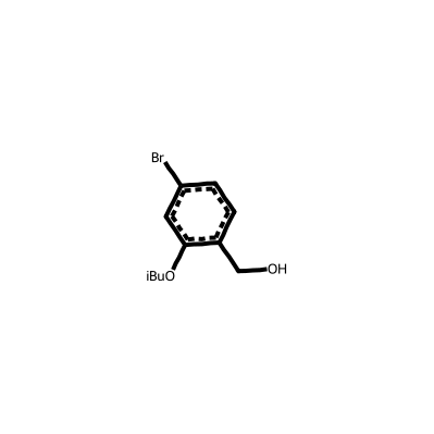 CC(C)COc1cc(Br)ccc1CO